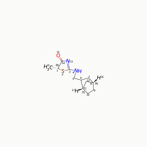 C[C@H]1SC(NCC2C[C@@H]3CC[C@H]2C3)=NC1=O